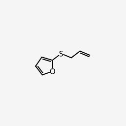 C=CCSc1ccco1